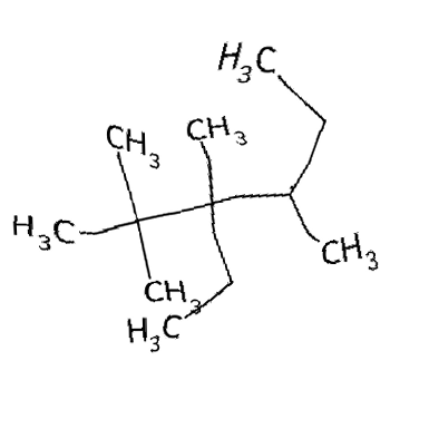 CC[C](C)C(C)(CC)C(C)(C)C